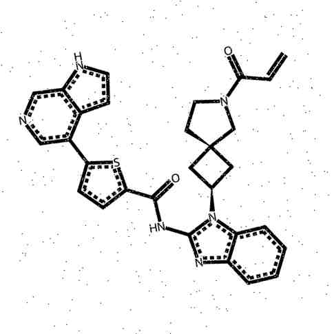 C=CC(=O)N1CC[C@]2(C1)C[C@H](n1c(NC(=O)c3ccc(-c4cncc5[nH]ccc45)s3)nc3ccccc31)C2